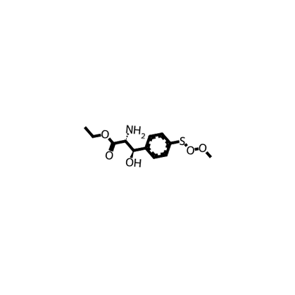 CCOC(=O)[C@H](N)[C@H](O)c1ccc(SOOC)cc1